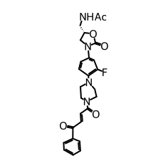 CC(=O)NC[C@H]1CN(c2ccc(N3CCN(C(=O)/C=C/C(=O)c4ccccc4)CC3)c(F)c2)C(=O)O1